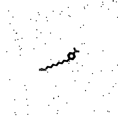 CCCCCCCCCCCCCCCCCCc1ccc(N(C)C)cc1